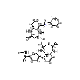 CNC(=O)c1ccc(-c2cccc3c2N[C@H](CC[C@@H]2CC(=O)Nc4cccc(/C=C/c5cccnc5)c4N2)CC(=O)N3)cc1